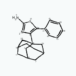 Nc1nc(C23CC4CC(CC(C4)C2)C3)c(-c2ccccc2)s1